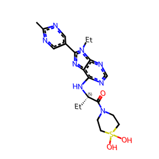 CC[C@H](Nc1ncnc2c1nc(-c1cnc(C)nc1)n2CC)C(=O)N1CCS(O)(O)CC1